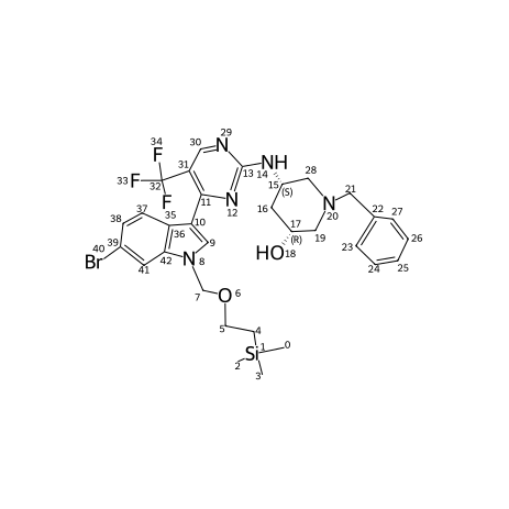 C[Si](C)(C)CCOCn1cc(-c2nc(N[C@H]3C[C@@H](O)CN(Cc4ccccc4)C3)ncc2C(F)(F)F)c2ccc(Br)cc21